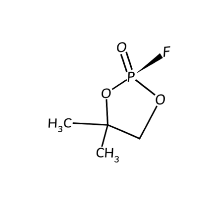 CC1(C)CO[P@](=O)(F)O1